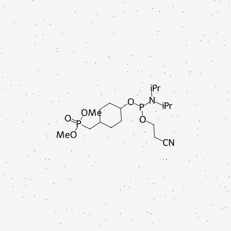 COP(=O)(CC1CCC(OP(OCCC#N)N(C(C)C)C(C)C)CC1)OC